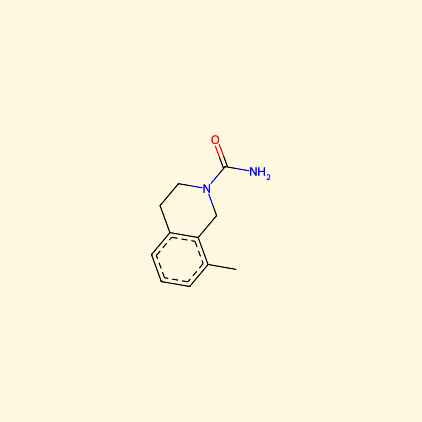 Cc1cccc2c1CN(C(N)=O)CC2